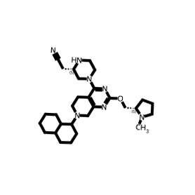 CN1CCC[C@H]1COc1nc2c(c(N3CCN[C@@H](CC#N)C3)n1)CCN(C1CCCC3CCCCC31)C2